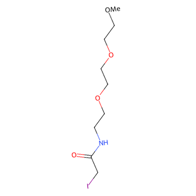 COCCOCCOCCNC(=O)CI